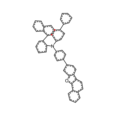 c1ccc(-c2ccc(N(c3ccc(-c4ccc5c(c4)oc4c6ccccc6ccc54)cc3)c3ccccc3-c3cccc4ccccc34)cc2)cc1